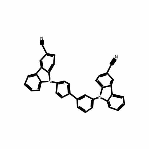 N#Cc1ccc2c(c1)c1ccccc1n2-c1ccc(-c2cccc(-n3c4ccccc4c4cc(C#N)ccc43)c2)cc1